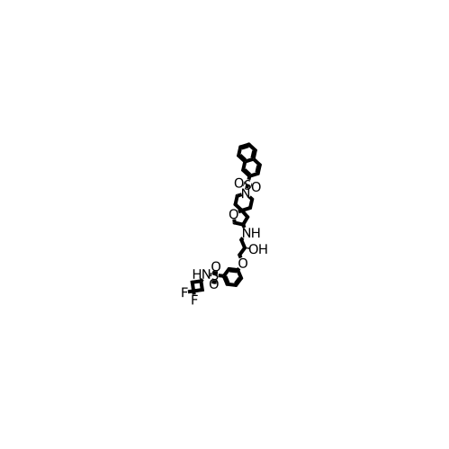 O=S(=O)(NC1CC(F)(F)C1)c1cccc(OC[C@@H](O)CNC2COC3(CCN(S(=O)(=O)c4ccc5ccccc5c4)CC3)C2)c1